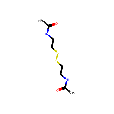 CCCC(=O)NCCSSCCNC(=O)CCC